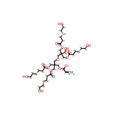 C=CC(=O)OCC(COCC(CO)(COC(=O)CCSCCO)COC(=O)CCSCCO)(COC(=O)CCSCCO)COC(=O)CCSCCO